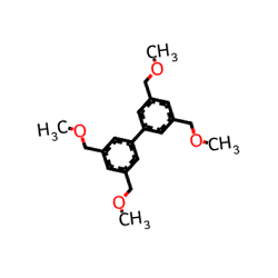 COCc1cc(COC)cc(-c2cc(COC)cc(COC)c2)c1